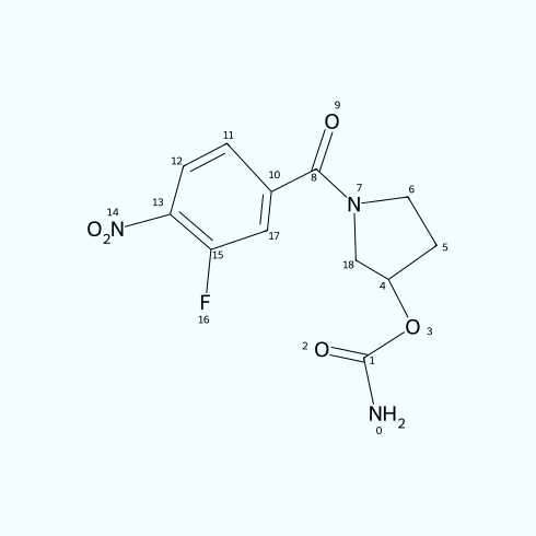 NC(=O)OC1CCN(C(=O)c2ccc([N+](=O)[O-])c(F)c2)C1